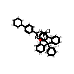 Clc1nc(-c2ccc(C3CCCCC3)cc2)nc(-c2ccccc2C2(c3ccccc3)c3ccccc3-c3ccccc32)n1